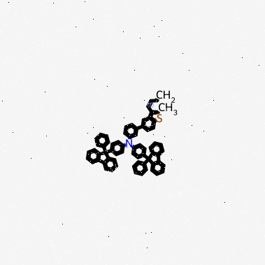 C=C/C=C\c1c(C)sc2ccc(-c3cccc(N(c4ccc(C5(c6ccccc6)c6ccccc6-c6ccccc65)cc4)c4ccc(C5(c6ccccc6)c6ccccc6-c6ccccc65)cc4)c3)cc12